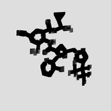 Cc1cc(C#N)cc(C(=O)NC(C)C2CC2)c1NC(=O)c1cc(Cn2ncc(C(F)(C(F)(F)F)C(F)(F)F)n2)nn1-c1ncccc1Cl